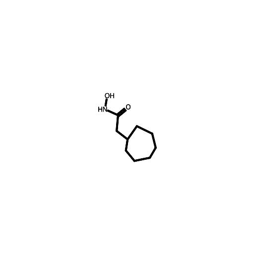 O=C(CC1CCCCCC1)NO